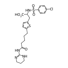 O=C(CCCCc1ccc(CC(NS(=O)(=O)c2ccc(Cl)cc2)C(=O)O)s1)NC1=NCCCN1